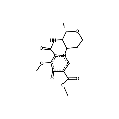 COC(=O)c1cn2c(c(OC)c1=O)C(=O)NC1C2CCO[C@H]1C